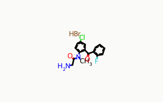 Br.CN(C(=O)CN)c1ccc(Cl)cc1C(=O)c1ccccc1F